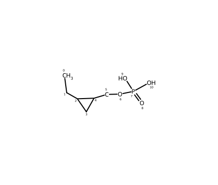 CCC1CC1COP(=O)(O)O